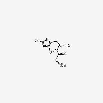 CC(C)(C)OC(=O)N[C@@H](C=O)Cc1sc(Cl)cc1Cl